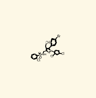 CCc1c(CNS(=O)(=O)c2ccccc2Cl)nn(-c2ccc(Cl)cc2Cl)c1-c1ccc(Br)cc1